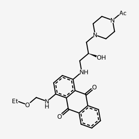 CCOCNc1ccc(NC[C@H](O)CN2CCN(C(C)=O)CC2)c2c1C(=O)c1ccccc1C2=O